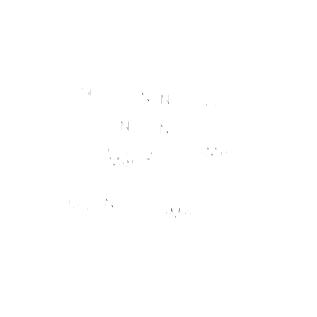 COCC1CCCC(=O)N1CC(C)S(=O)(=O)N(CC[Si](C)(C)C)c1nnc(-c2ccc(C)o2)n1-c1c(OC)cccc1OC